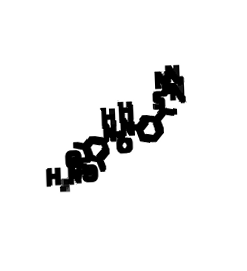 Cc1cc(NC(=O)Nc2cccc(C(C)Sc3nncn3C)c2)cc(C)c1S(N)(=O)=O